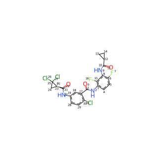 O=C(Nc1ccc(F)c(NC(=O)C2CC2)c1F)c1cc(NC(=O)[C@H]2CC2(Cl)Cl)ccc1Cl